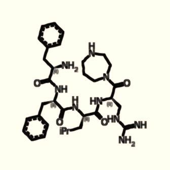 CC(C)C[C@@H](NC(=O)[C@@H](Cc1ccccc1)NC(=O)[C@H](N)Cc1ccccc1)C(=O)N[C@H](CNC(=N)N)C(=O)N1CCCNCC1